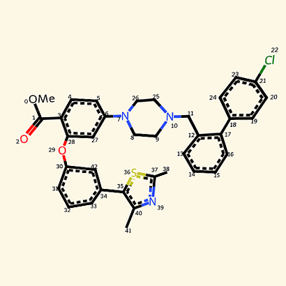 COC(=O)c1ccc(N2CCN(Cc3ccccc3-c3ccc(Cl)cc3)CC2)cc1Oc1cccc(-c2sc(C)nc2C)c1